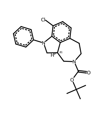 CC(C)(C)OC(=O)N1CCc2ccc(Cl)c3c2[C@@H](C1)CN3c1ccccc1